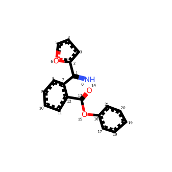 N=C(c1ccco1)c1ccccc1C(=O)Oc1ccccc1